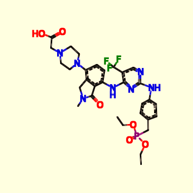 CCOP(=O)(Cc1ccc(Nc2ncc(C(F)(F)F)c(Nc3ccc(N4CCN(CC(=O)O)CC4)c4c3C(=O)N(C)C4)n2)cc1)OCC